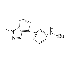 Cn1ncc2c(-c3cccc(NC(C)(C)C)c3)cccc21